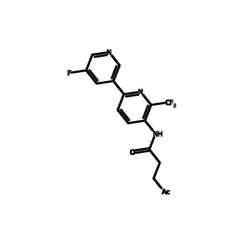 CC(=O)CCC(=O)Nc1ccc(-c2cncc(F)c2)nc1C(F)(F)F